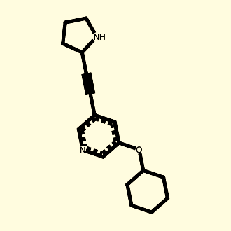 C(#CC1CCCN1)c1cncc(OC2CCCCC2)c1